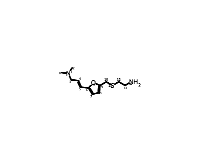 CN(C)CC=Cc1ccc(CSCCN)o1